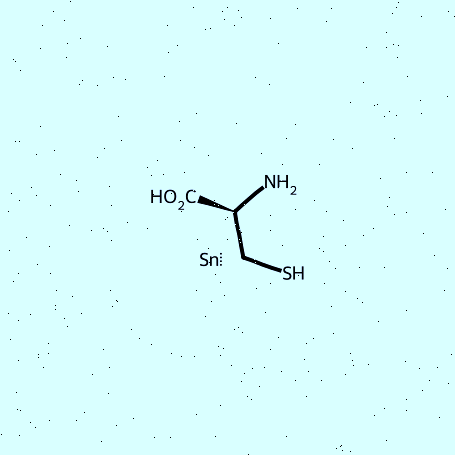 N[C@@H](CS)C(=O)O.[Sn]